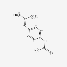 C=C(C)Cc1ccc(C=C(C(=O)OCC)C(=O)OCC)cc1